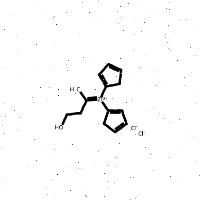 C[C](CCO)=[Zr+2]([C]1=CC=CC1)[C]1=CC=CC1.[Cl-].[Cl-]